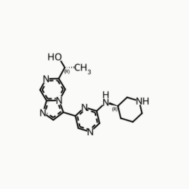 C[C@@H](O)c1cn2c(-c3cncc(N[C@@H]4CCCNC4)n3)cnc2cn1